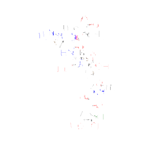 CO[C@@H](CNC(=O)C(=O)c1ccc(O)c(O)c1Cl)CS[C@]1(C(=O)O)CN2C(O)C(NC(=O)/C(=N\OC(C)(C)C(=O)O)c3csc(N)n3)[C@H]2S1